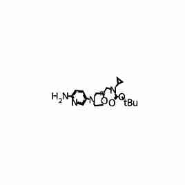 CC(C)(C)OC(=O)N(C[C@@H]1CN(c2ccc(N)nc2)CCO1)C1CC1